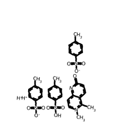 Cc1c2ccc(=O)nc-2ccn1C.Cc1ccc(S(=O)(=O)O)cc1.Cc1ccc(S(=O)(=O)[O-])cc1.Cc1ccc(S(=O)(=O)[O-])cc1.[H+].[H+]